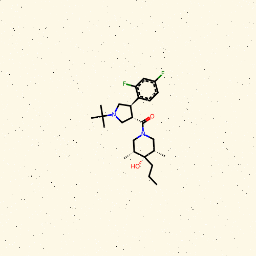 CCC[C@@]1(O)[C@H](C)CN(C(=O)[C@@H]2CN(C(C)(C)C)C[C@H]2c2ccc(F)cc2F)C[C@@H]1C